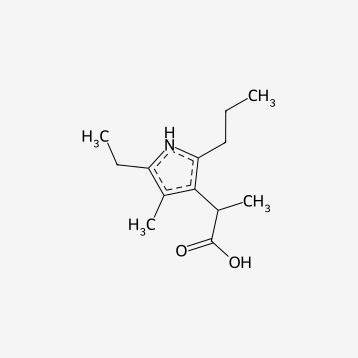 CCCc1[nH]c(CC)c(C)c1C(C)C(=O)O